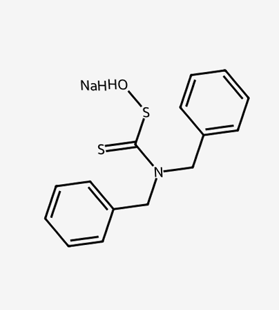 OSC(=S)N(Cc1ccccc1)Cc1ccccc1.[NaH]